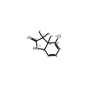 CC1(C)C(=O)NC2C=CC=C(Cl)C21C